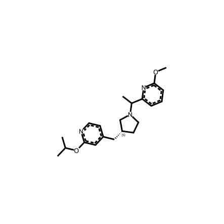 COc1cccc(C(C)N2CC[C@H](Cc3ccnc(OC(C)C)c3)C2)n1